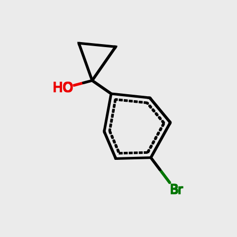 OC1(c2ccc(Br)cc2)CC1